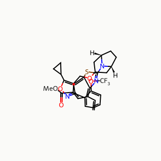 C=Cc1cc(C(=O)OC)cc2sc(N3[C@@H]4CC[C@H]3CC(OCc3c(-c5ccccc5OC(F)(F)F)noc3C3CC3)C4)nc12